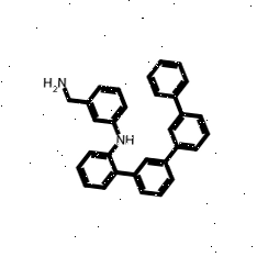 NCc1cccc(Nc2ccccc2-c2cccc(-c3cccc(-c4ccccc4)c3)c2)c1